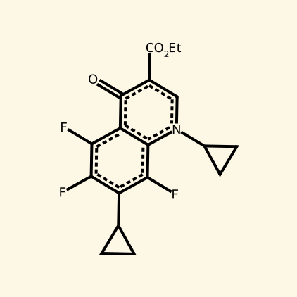 CCOC(=O)c1cn(C2CC2)c2c(F)c(C3CC3)c(F)c(F)c2c1=O